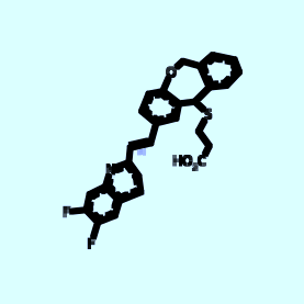 O=C(O)CCSC1c2ccccc2COc2ccc(/C=C/c3ccc4cc(F)c(F)cc4n3)cc21